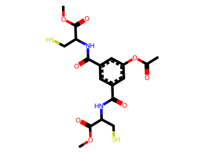 COC(=O)C(CS)NC(=O)c1cc(OC(C)=O)cc(C(=O)NC(CS)C(=O)OC)c1